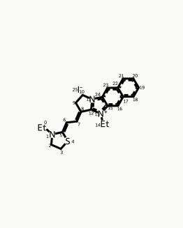 CCN1CCSC1=CC=C1CCn2c1[n+](CC)c1cc3ccccc3cc12.[I-]